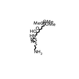 CO[Si](CCCC(=O)CC(O)CNc1nnc(SCCCN)s1)(OC)OC